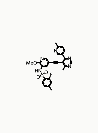 COc1ncc(C#Cc2c(C)ncnc2-c2ccc(C)nc2)cc1NS(=O)(=O)c1ccc(C)cc1F